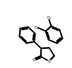 Clc1ccccc1Cl.O=C1OCCC1c1ccccc1